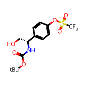 CC(C)(C)OC(=O)N[C@H](CO)c1ccc(OS(=O)(=O)C(F)(F)F)cc1